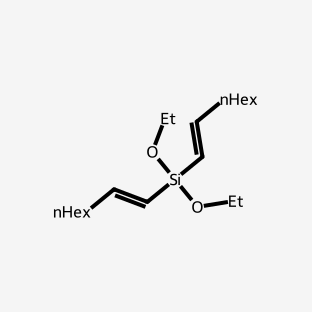 CCCCCCC=C[Si](C=CCCCCCC)(OCC)OCC